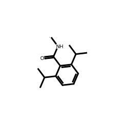 [CH2]NC(=O)c1c(C(C)C)cccc1C(C)C